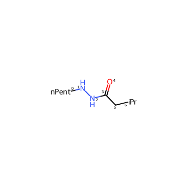 CCCCCNNC(=O)CC(C)C